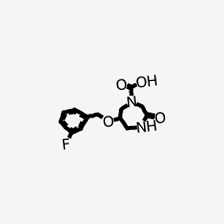 O=C1CN(C(=O)O)CC(OCc2cccc(F)c2)CN1